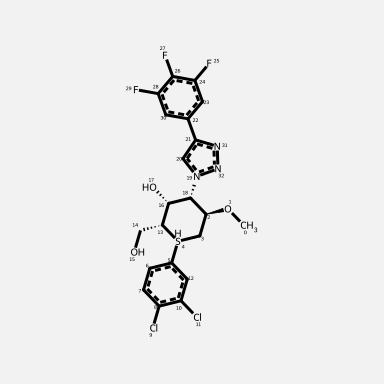 CO[C@H]1C[SH](c2ccc(Cl)c(Cl)c2)[C@H](CO)[C@H](O)[C@@H]1n1cc(-c2cc(F)c(F)c(F)c2)nn1